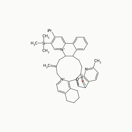 C=C1CC2C(CCc3ccc4c(oc5nc(C)ccc54)c3-c3c4c(cc[n+]3C1)CCCC4)c1ccccc1-c1cc(C(C)C)c([Si](C)(C)C)c[n+]12